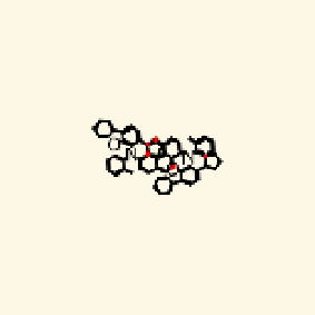 Cc1ccccc1N(c1ccc2ccc3c(N(c4ccccc4C)c4c(C5CCCC5)ccc5c4oc4ccccc45)ccc4ccc1c2c43)c1c(C2CCCC2)ccc2c1oc1ccccc12